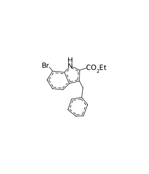 CCOC(=O)c1[nH]c2c(Br)cccc2c1Cc1ccccc1